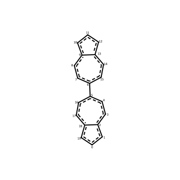 c1cc2ccc(-c3ccc4cccc-4cc3)ccc-2c1